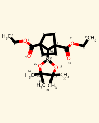 CCOC(=O)C12CCC(C(=O)OCC)(CC1)C2B1OC(C)(C)C(C)(C)O1